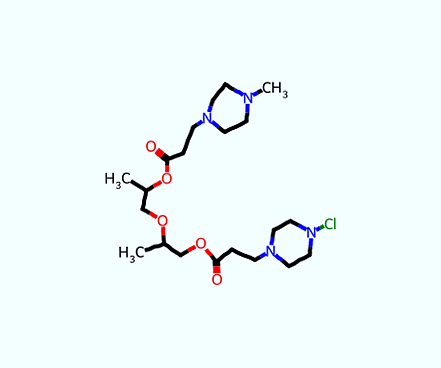 CC(COC(=O)CCN1CCN(Cl)CC1)OCC(C)OC(=O)CCN1CCN(C)CC1